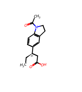 CC[C@H](CC(=O)O)c1ccc2c(c1)CCN2C(C)=O